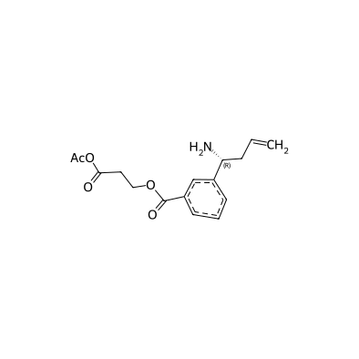 C=CC[C@@H](N)c1cccc(C(=O)OCCC(=O)OC(C)=O)c1